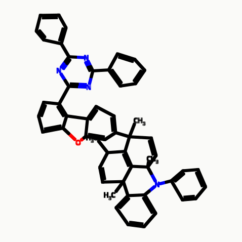 CC1C=CC2(C)C3=C1C(C)(c1ccc4c(c1)oc1cccc(-c5nc(-c6ccccc6)nc(-c6ccccc6)n5)c14)C=CC3(C)N(c1ccccc1)c1ccccc12